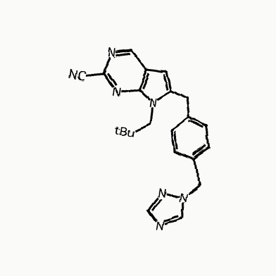 CC(C)(C)Cn1c(Cc2ccc(Cn3cncn3)cc2)cc2cnc(C#N)nc21